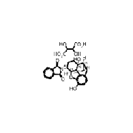 O=C(O)C(O)C(O)C(=O)O.O=C1c2ccccc2C(=O)N1[C@@H]1CC[C@@]2(O)[C@H]3Cc4ccc(O)c5c4[C@@]2(CCN3)[C@H]1O5